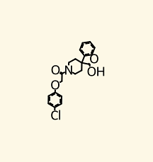 O=C(COc1ccc(Cl)cc1)N1CCC(C(=O)O)(c2ccccc2)CC1